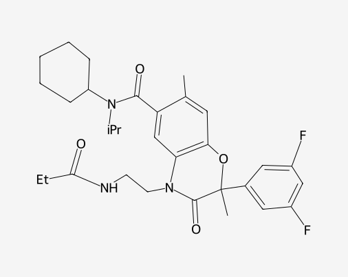 CCC(=O)NCCN1C(=O)C(C)(c2cc(F)cc(F)c2)Oc2cc(C)c(C(=O)N(C(C)C)C3CCCCC3)cc21